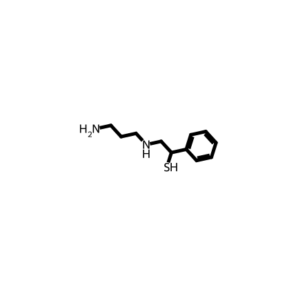 NCCCNCC(S)c1ccccc1